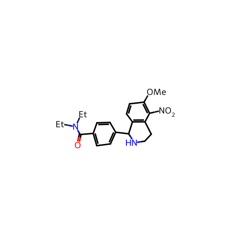 CCN(CC)C(=O)c1ccc(C2NCCc3c2ccc(OC)c3[N+](=O)[O-])cc1